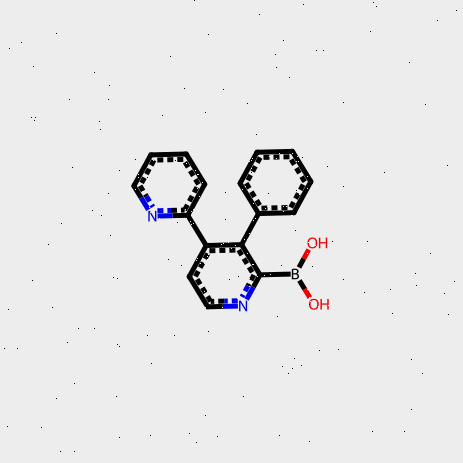 OB(O)c1nccc(-c2ccccn2)c1-c1ccccc1